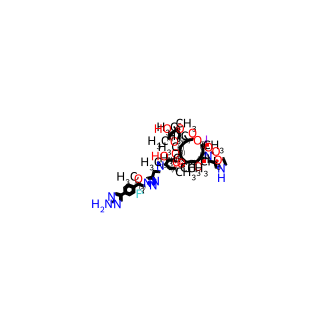 CO[C@H](c1ccc(-c2cnc(N)nc2)cc1)[C@@H](CF)n1cc(CCN(C)[C@H]2C[C@@H](C)O[C@@H](O[C@@H]3[C@@H](C)C([C@H]4C[C@@](C)(OC)[C@@H](O)[C@H](C)O4)[C@@H](C)C(=O)O[C@H](I)[C@@]4(C)OC(=O)N(CC5CNCCO5)[C@@H]4[C@@H](C)C(=O)[C@H](C)C[C@@]3(C)OC)[C@@H]2O)nn1